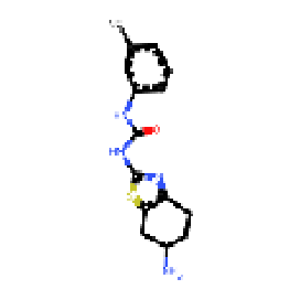 N#Cc1cccc(NC(=O)Nc2nc3c(s2)CC(N)CC3)c1